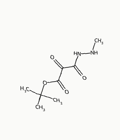 CNNC(=O)C(=O)C(=O)OC(C)(C)C